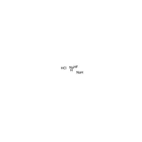 Cl.F.[NaH].[NaH]